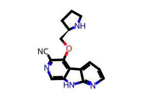 N#Cc1ncc2[nH]c3ncccc3c2c1OC[C@H]1CCCN1